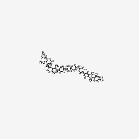 N#Cc1c(N2CC[C@@H](F)C2)ccc(F)c1Oc1ccc2ncn(-c3ccc(N4CCC5(CCN(CC6CCN(c7ccc8c(c7)C(=O)N(C7CCC(=O)NC7=O)C8=O)CC6)CC5)CC4)nc3)c(=O)c2c1